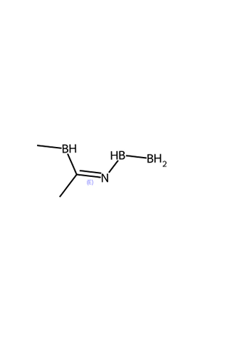 BB/N=C(/C)BC